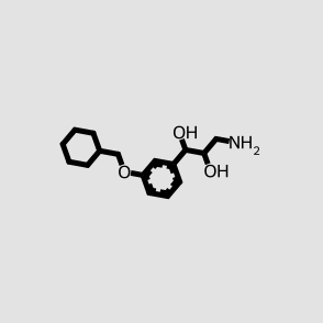 NCC(O)C(O)c1cccc(OCC2CCCCC2)c1